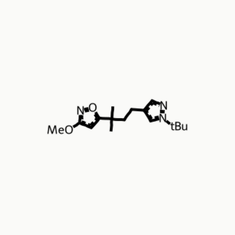 COc1cc(C(C)(C)CCc2cnn(C(C)(C)C)c2)on1